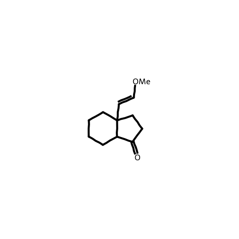 CO/C=C/C12CCCCC1C(=O)CC2